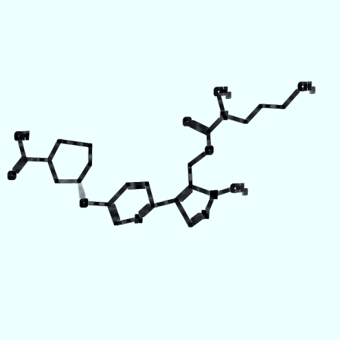 CCCCN(C)C(=O)OCc1c(-c2ccc(O[C@H]3CCCC(C(=O)O)C3)cn2)cnn1C